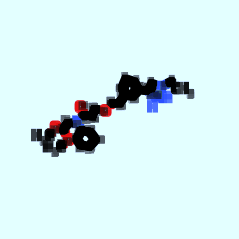 CCN1C=C(c2cccc(CCOCCC(=O)N(CC(OC)OC)C3CCCCC3)c2)NN1